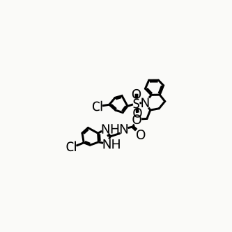 O=C(NCc1nc2ccc(Cl)cc2[nH]1)OCC1CCc2ccccc2N1S(=O)(=O)c1ccc(Cl)cc1